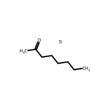 CCCCCCC(C)=O.[Ti]